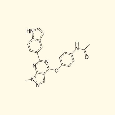 CC(=O)Nc1ccc(Oc2nc(-c3ccc4[nH]ccc4c3)nc3c2cnn3C)cc1